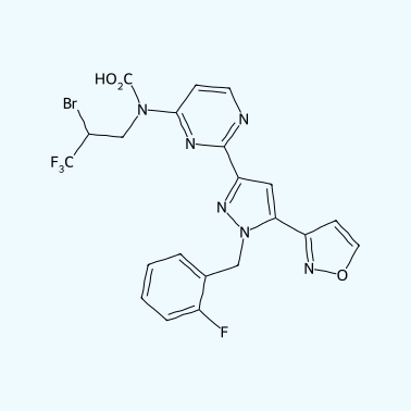 O=C(O)N(CC(Br)C(F)(F)F)c1ccnc(-c2cc(-c3ccon3)n(Cc3ccccc3F)n2)n1